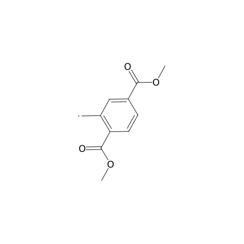 [CH2]c1cc(C(=O)OC)ccc1C(=O)OC